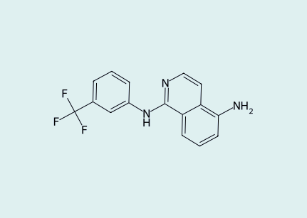 Nc1cccc2c(Nc3cccc(C(F)(F)F)c3)nccc12